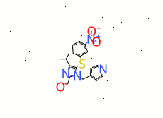 CC(C)c1nc(C=O)n(Cc2ccncc2)c1Sc1cccc([N+](=O)[O-])c1